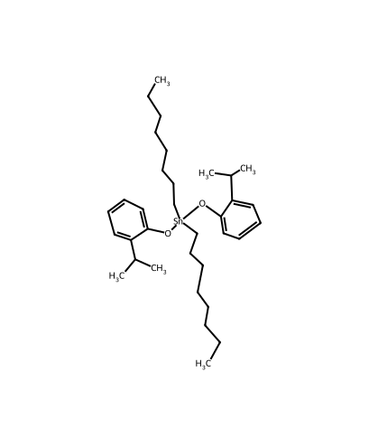 CCCCCCC[CH2][Sn]([CH2]CCCCCCC)([O]c1ccccc1C(C)C)[O]c1ccccc1C(C)C